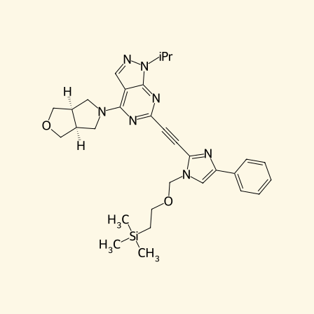 CC(C)n1ncc2c(N3C[C@H]4COC[C@H]4C3)nc(C#Cc3nc(-c4ccccc4)cn3COCC[Si](C)(C)C)nc21